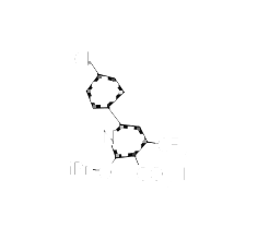 CC(C)Oc1nc(-c2ccc(Cl)cc2)cc(C(F)(F)F)c1C(=O)O